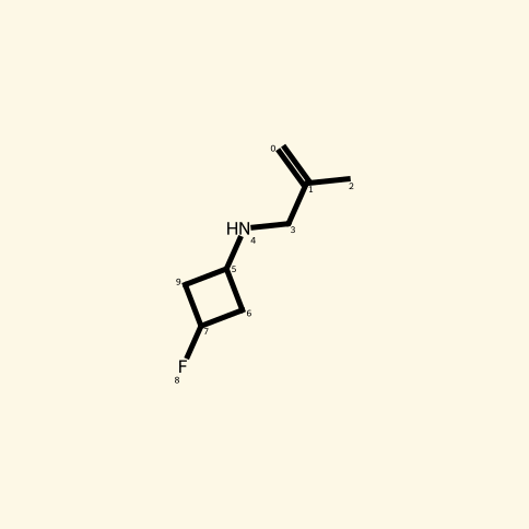 C=C(C)CNC1CC(F)C1